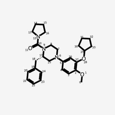 COc1ccc(N2CCN(C(=O)N3CCCC3)[C@@H](Cc3ccccc3)C2)cc1OC1CCCC1